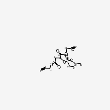 C#CCOC(=O)CC(OP(=O)(CC)OCC)C(=O)OCC#C